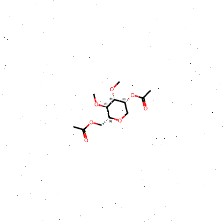 CO[C@H]1[C@H](OC)[C@H](OC(C)=O)CO[C@@H]1COC(C)=O